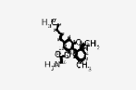 C=C1Oc2cc(CCCCC)cc(OC(=O)CN)c2[C@@H]2C=C(C)CC[C@@H]12